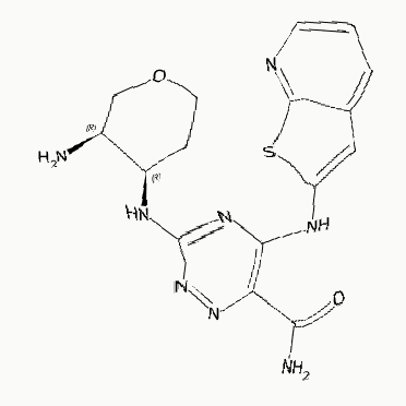 NC(=O)c1nnc(N[C@@H]2CCOC[C@@H]2N)nc1Nc1cc2cccnc2s1